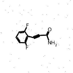 NC(=O)C#Cc1c(F)cccc1F